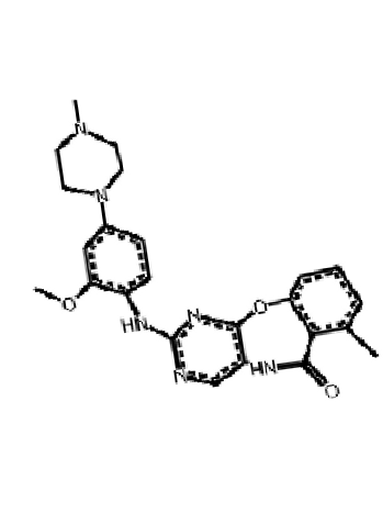 COc1cc(N2CCN(C)CC2)ccc1Nc1ncc2c(n1)Oc1cccc(C)c1C(=O)N2